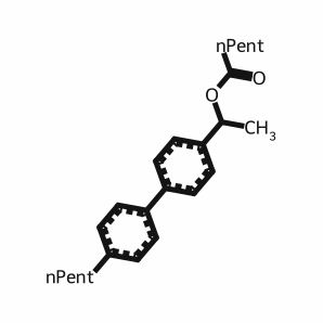 CCCCCC(=O)OC(C)c1ccc(-c2ccc(CCCCC)cc2)cc1